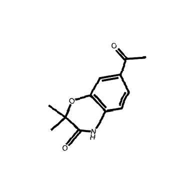 CC(=O)c1ccc2c(c1)OC(C)(C)C(=O)N2